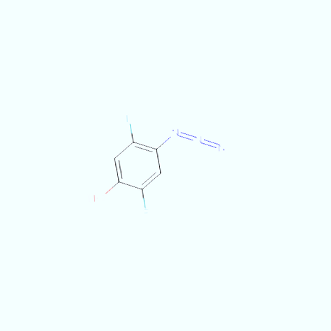 [N-]=[N+]=Nc1cc(F)c(O)cc1F